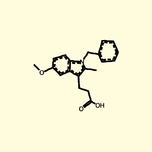 COc1ccc2c(c1)c(CCC(=O)O)c(C)n2Cc1ccccc1